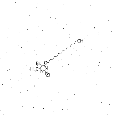 CCCCCCCCCCCCCCCOc1nc(N2CCC2)nc(C)c1Br